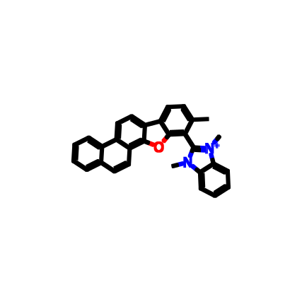 Cc1ccc2c(oc3c2ccc2c4ccccc4ccc23)c1-c1n(C)c2ccccc2[n+]1C